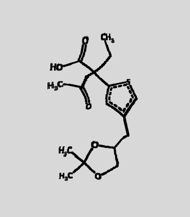 CCC(C(C)=O)(C(=O)O)c1cc(CC2COC(C)(C)O2)cs1